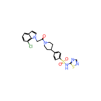 O=C(Cn1ccc2cccc(Cl)c21)N1CCC(c2ccc(S(=O)(=O)Nc3ncns3)cc2)CC1